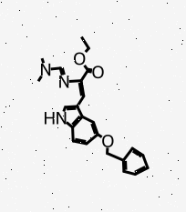 CCOC(=O)C(=Cc1c[nH]c2ccc(OCc3ccccc3)cc12)N=CN(C)C